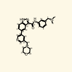 CN(C)Cc1cccc(NC(=O)c2n[nH]c3ccc(-c4cncc(CN5CCOCC5)c4)cc23)c1